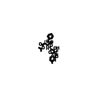 Cc1ccn([C@@H]2O[C@H](COP(=O)(N[C@@H](C)C(=O)OC(C)C)Oc3ccccc3)[C@@H](O)[C@]2(F)Br)c(=O)n1